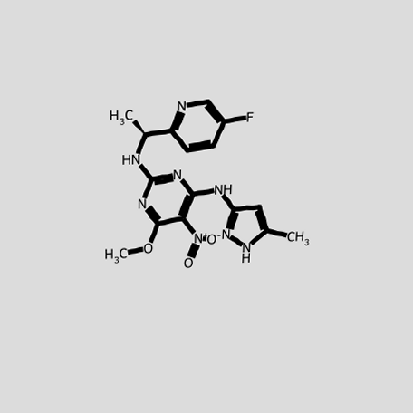 COc1nc(N[C@@H](C)c2ccc(F)cn2)nc(Nc2cc(C)[nH]n2)c1[N+](=O)[O-]